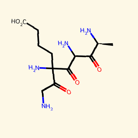 C[C@H](N)C(=O)C(N)C(=O)C(N)(CCCC(=O)O)C(=O)CN